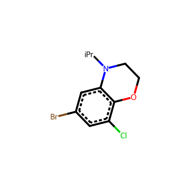 CC(C)N1CCOc2c(Cl)cc(Br)cc21